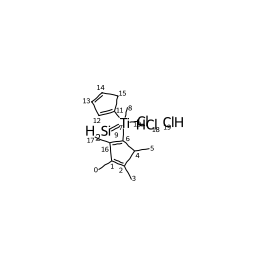 CC1=C(C)C(C)[C]([Ti]([CH3])(=[SiH2])([Cl])[C]2=CC=CC2)=C1C.Cl.Cl